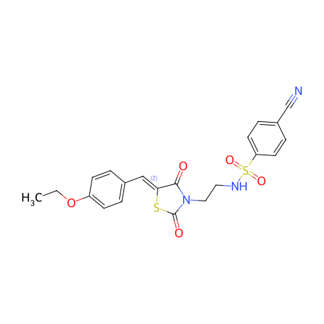 CCOc1ccc(/C=C2\SC(=O)N(CCNS(=O)(=O)c3ccc(C#N)cc3)C2=O)cc1